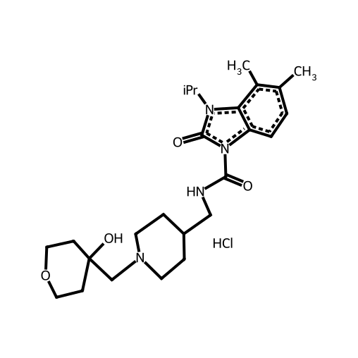 Cc1ccc2c(c1C)n(C(C)C)c(=O)n2C(=O)NCC1CCN(CC2(O)CCOCC2)CC1.Cl